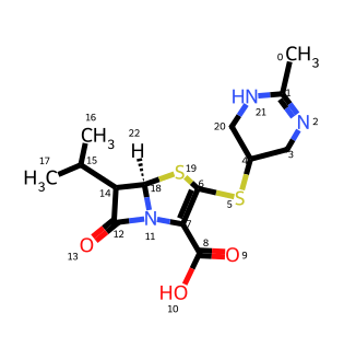 CC1=NCC(SC2=C(C(=O)O)N3C(=O)C(C(C)C)[C@H]3S2)CN1